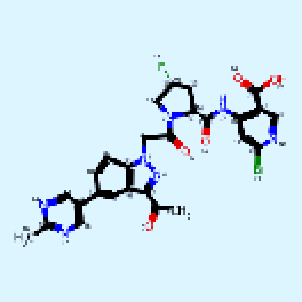 CC(=O)c1nn(CC(=O)N2C[C@H](F)C[C@H]2C(=O)Nc2cc(Br)ncc2C(=O)O)c2ccc(-c3cnc(C)nc3)cc12